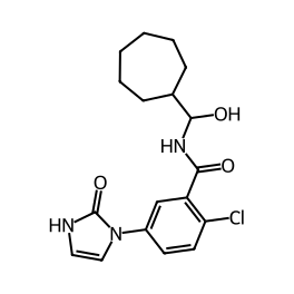 O=C(NC(O)C1CCCCCC1)c1cc(-n2cc[nH]c2=O)ccc1Cl